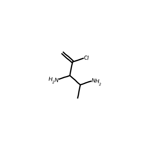 C=C(Cl)C(N)C(C)N